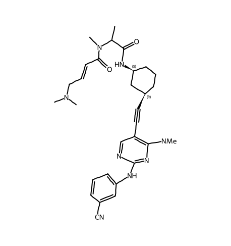 CNc1nc(Nc2cccc(C#N)c2)ncc1C#C[C@@H]1CCC[C@H](NC(=O)C(C)N(C)C(=O)C=CCN(C)C)C1